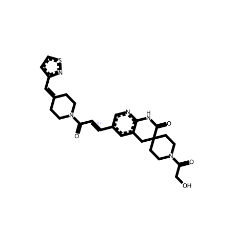 O=C(/C=C/c1cnc2c(c1)CC1(CCN(C(=O)CO)CC1)C(=O)N2)N1CCC(=Cc2ccsn2)CC1